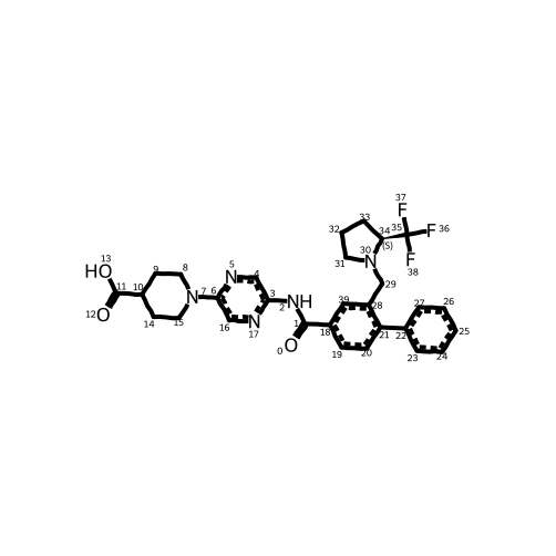 O=C(Nc1cnc(N2CCC(C(=O)O)CC2)cn1)c1ccc(-c2ccccc2)c(CN2CCC[C@H]2C(F)(F)F)c1